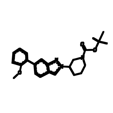 COc1ccccc1-c1ccc2cn(C3CCCN(C(=O)OC(C)(C)C)C3)nc2c1